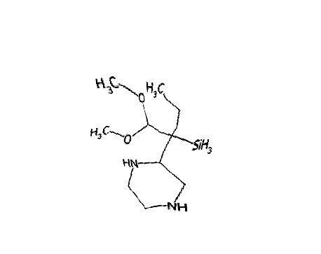 CCC([SiH3])(C1CNCCN1)C(OC)OC